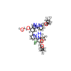 COCCOc1cc(-c2cccc([C@@H](N[S@+]([O-])C(C)(C)C)C(F)CCO[Si](C)(C)C(C)(C)C)n2)cc2c1cnn2-c1cccc(CO[Si](C)(C)C(C)(C)C)n1